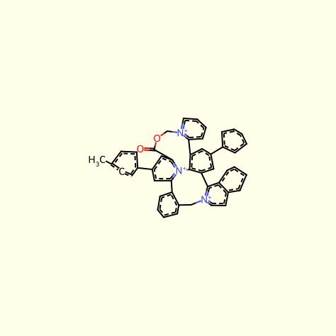 Cc1ccc(-c2cc3[n+]4c(c2)-c2ccccc2C[n+]2ccc5ccccc5c2-c2cc(-c5ccccc5)cc(c2-4)-c2cccc[n+]2COC3=O)cc1